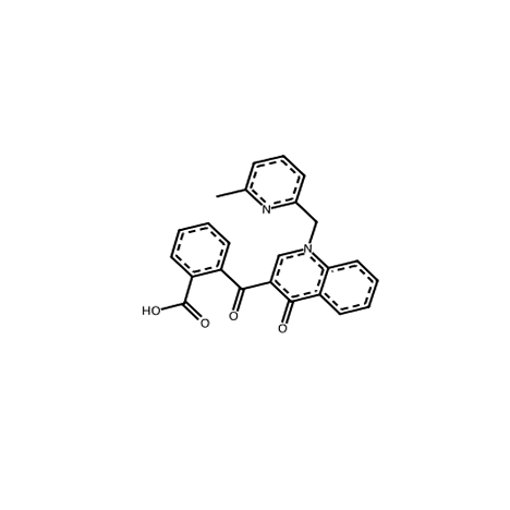 Cc1cccc(Cn2cc(C(=O)c3ccccc3C(=O)O)c(=O)c3ccccc32)n1